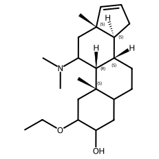 CCOC1C[C@@]2(C)C(CC[C@@H]3[C@H]2C(N(C)C)C[C@]2(C)C=CC[C@@H]32)CC1O